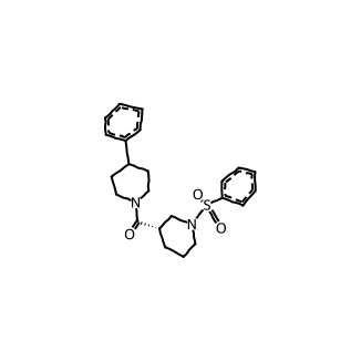 O=C([C@H]1CCCN(S(=O)(=O)c2ccccc2)C1)N1CCC(c2ccccc2)CC1